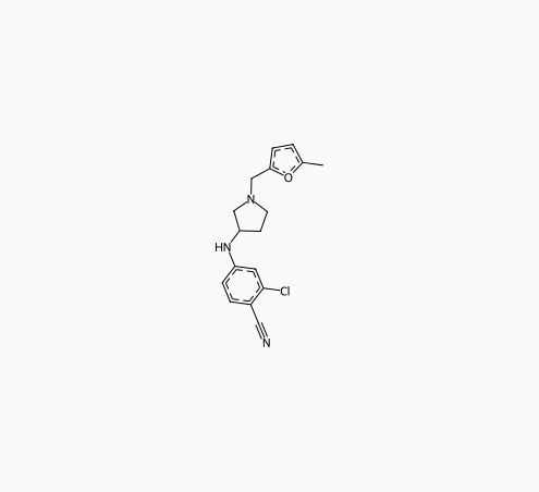 Cc1ccc(CN2CCC(Nc3ccc(C#N)c(Cl)c3)C2)o1